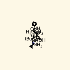 CC(C)(NC(=O)C1CC(O)CN1C(=O)C(N/C=C(\N)C1CC1)C(C)(C)C)C(=O)Nc1ccccc1